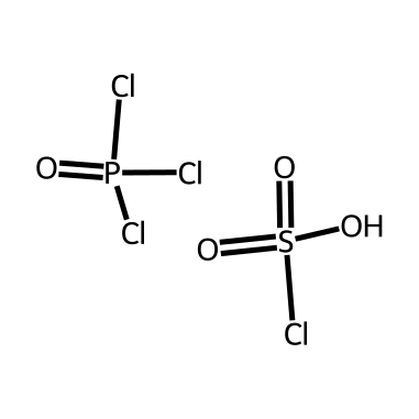 O=P(Cl)(Cl)Cl.O=S(=O)(O)Cl